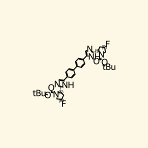 CC(C)(C)OC(=O)N1C[C@H](F)C[C@H]1c1ncc(-c2ccc(-c3ccc(-c4cnc([C@@H]5C[C@@H](F)CN5C(=O)OC(C)(C)C)[nH]4)cc3)cc2)[nH]1